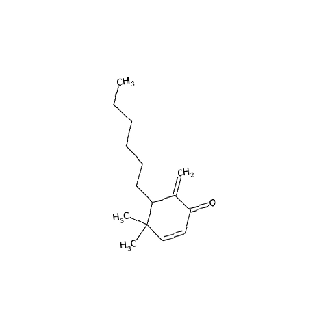 C=C1C(=O)C=CC(C)(C)C1CCCCCC